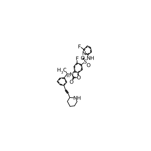 C[C@H](c1cccc(C#CC2CCCCN2)c1)n1c(=O)oc2cc(S(=O)(=O)Nc3cccc(F)n3)c(F)cc21